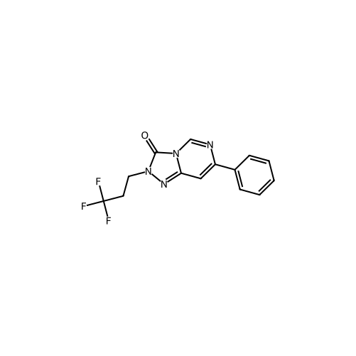 O=c1n(CCC(F)(F)F)nc2cc(-c3ccccc3)ncn12